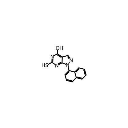 Oc1nc(S)nc2c1cnn2-c1cccc2ccccc12